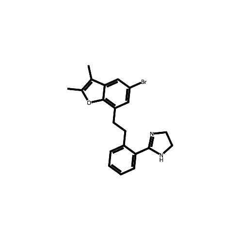 Cc1oc2c(CCc3ccccc3C3=NCCN3)cc(Br)cc2c1C